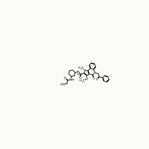 COc1c(C(=O)NC2CCCC(NC(=O)CO)C2)n(C)c2c1c(=O)n(CC(=O)c1ccccc1)c1ccccc21